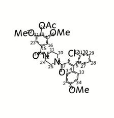 COc1ccc(/C(=C\C(=O)N2CCN(C(=O)c3cc(OC)c(OC(C)=O)c(OC)c3)CC2)c2ccccc2Cl)cc1